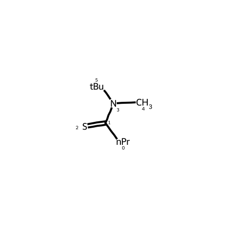 CCCC(=S)N(C)C(C)(C)C